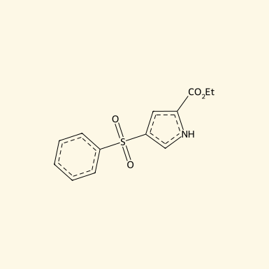 CCOC(=O)c1cc(S(=O)(=O)c2ccccc2)c[nH]1